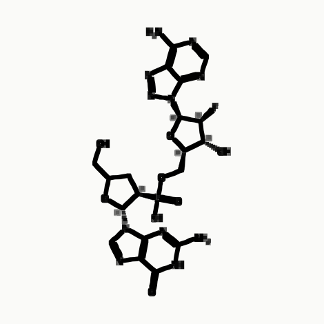 Nc1nc2c(ncn2[C@@H]2OC(CO)C[C@H]2P(=O)(S)OC[C@H]2O[C@@H](n3nnc4c(N)ncnc43)[C@@H](F)[C@@H]2O)c(=O)[nH]1